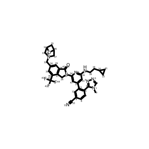 Cn1cnnc1-c1ccc(C#N)cc1-c1cc(NCCC2CC2)nc(N2Cc3c(cc(CN4CC5CC(C4)O5)cc3C(F)(F)F)C2=O)c1